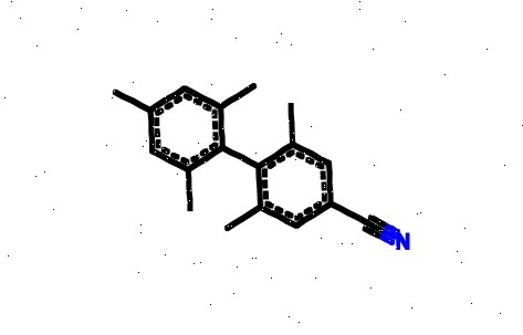 Cc1cc(C)c(-c2c(C)cc(C#N)cc2C)c(C)c1